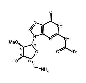 CO[C@@H]1[C@H](O)[C@@H](CN)O[C@H]1n1cnc2c(=O)[nH]c(NC(=O)C(C)C)nc21